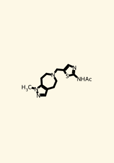 CC(=O)Nc1ncc(CN2CCc3cnn(C)c3CC2)s1